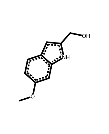 COc1ccc2cc(CO)[nH]c2c1